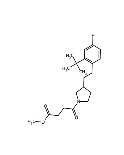 COC(=O)CCC(=O)N1CCC(CCc2ccc(F)cc2C(C)(C)C)C1